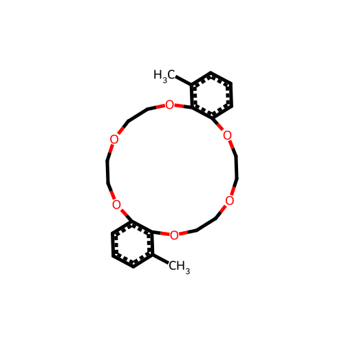 Cc1cccc2c1OCCOCCOc1cccc(C)c1OCCOCCO2